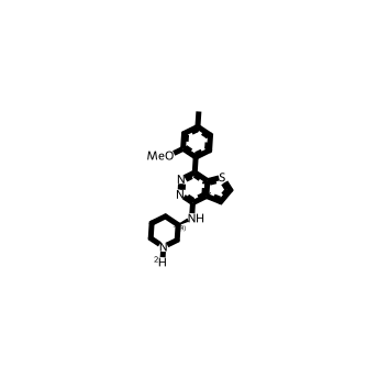 [2H]N1CCC[C@@H](Nc2nnc(-c3ccc(C)cc3OC)c3sccc23)C1